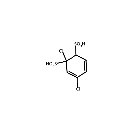 O=S(=O)(O)C1C=CC(Cl)=CC1(Cl)S(=O)(=O)O